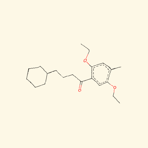 CCOc1cc(C(=O)CCCC2CCCCC2)c(OCC)cc1C